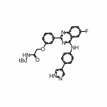 CC(C)(C)NC(=O)COc1cccc(-c2nc(Nc3ccc(-c4cn[nH]c4)cc3)c3cc(F)ccc3n2)c1